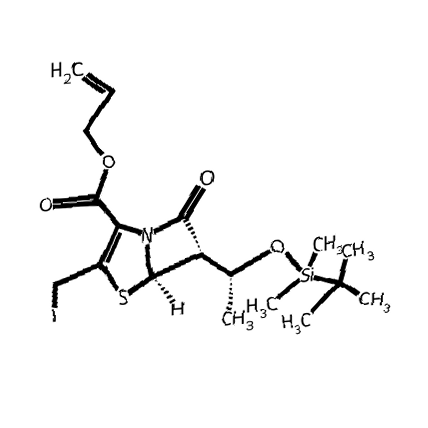 C=CCOC(=O)C1=C(CI)S[C@@H]2[C@@H]([C@@H](C)O[Si](C)(C)C(C)(C)C)C(=O)N12